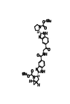 CC(C)(C)OC(=O)N1CCC[C@H]1c1nc2cc(C(=O)CNC(=O)c3ccc4[nH]c([C@@H]5C[C@@H]6C[C@@H]6N5C(=O)OC(C)(C)C)nc4c3)ccc2[nH]1